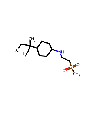 CCC(C)(C)C1CCC(NCCS(C)(=O)=O)CC1